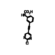 O=C(O)Nc1cccc(C#Cc2cnc(Cl)nc2)c1